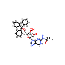 CC(=O)Nc1ncc2ncn([C@@H]3O[C@H](COC(c4ccccc4)(c4ccccc4)c4ccccc4)[C@@H](O)[C@H]3O)c2n1